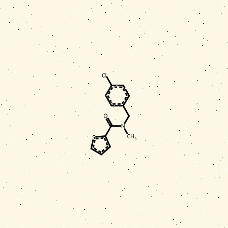 CN(Cc1ccc(Cl)cc1)C(=O)c1cccs1